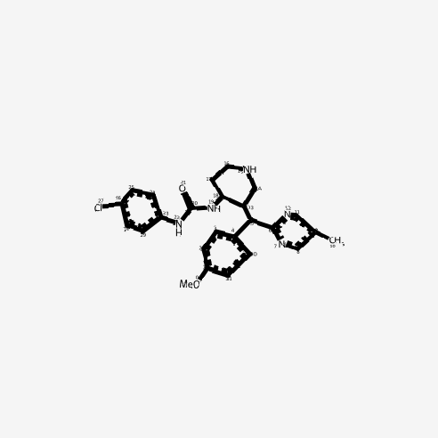 COc1ccc(C(c2ncc(C)cn2)C2CNCCC2NC(=O)Nc2ccc(Cl)cc2)cc1